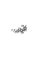 C=Nc1nc(-c2ccc(C(C)C(F)(F)F)cc2)c(Cl)cc1Nc1ccc(C)c(CC)c1